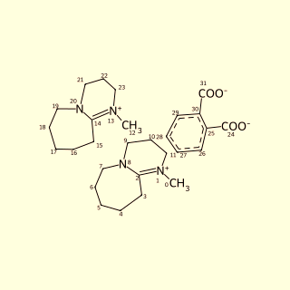 C[N+]1=C2CCCCCN2CCC1.C[N+]1=C2CCCCCN2CCC1.O=C([O-])c1ccccc1C(=O)[O-]